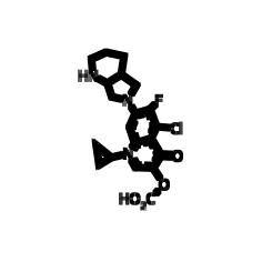 O=C(O)Oc1cn(C2CC2)c2cc(N3CC4CCCNC4C3)c(F)c(Cl)c2c1=O